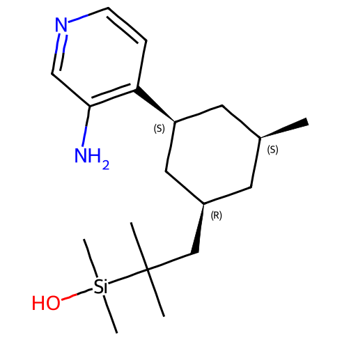 C[C@H]1C[C@@H](CC(C)(C)[Si](C)(C)O)C[C@@H](c2ccncc2N)C1